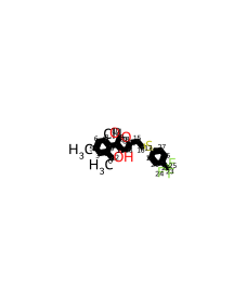 CCc1cc(C)cc(C)c1-c1c(O)cc(CCSc2ccc(C(F)(F)F)cc2)oc1=O